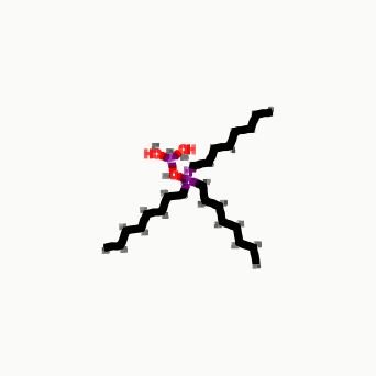 CCCCCCCC[PH](CCCCCCCC)(CCCCCCCC)OP(O)O